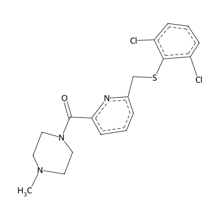 CN1CCN(C(=O)c2cccc(CSc3c(Cl)cccc3Cl)n2)CC1